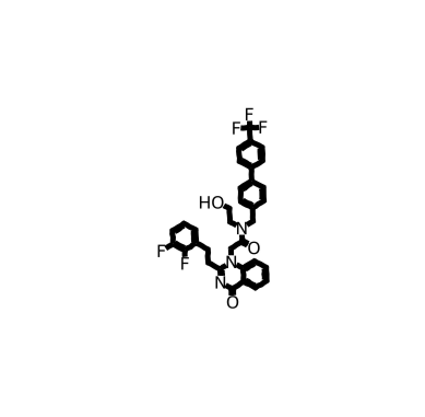 O=C(Cn1c(CCc2cccc(F)c2F)nc(=O)c2ccccc21)N(CCO)Cc1ccc(-c2ccc(C(F)(F)F)cc2)cc1